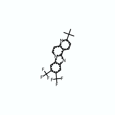 CC(C)(C)c1ccc2c(ccn3c4cc(C(F)(F)F)c(C(F)(F)F)cc4nc23)n1